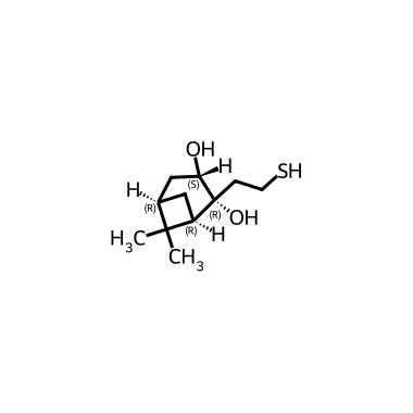 CC1(C)[C@@H]2C[C@H]1[C@](O)(CCS)[C@@H](O)C2